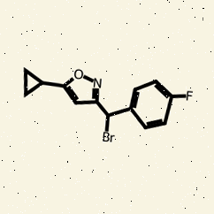 Fc1ccc(C(Br)c2cc(C3CC3)on2)cc1